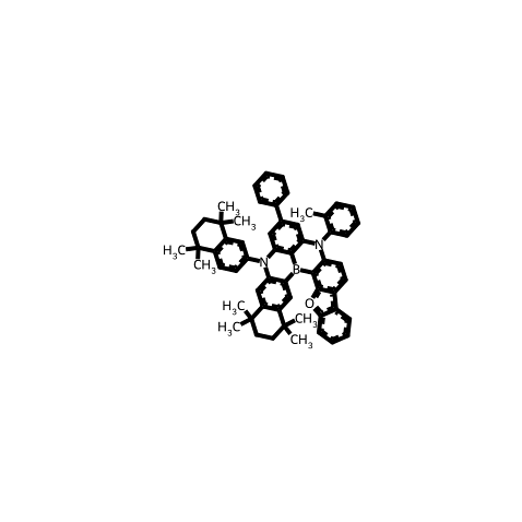 Cc1ccccc1N1c2cc(-c3ccccc3)cc3c2B(c2cc4c(cc2N3c2ccc3c(c2)C(C)(C)CCC3(C)C)C(C)(C)CCC4(C)C)c2c1ccc1c2oc2ccccc21